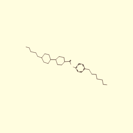 CCCCCCCc1ccc(OC(=O)C2CCC(C3CCC(CCCCC)CC3)CC2)cc1